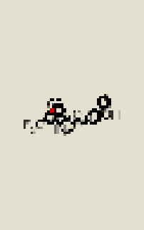 CC1(c2ccccc2)C(c2cc(C(F)(F)F)cc(C(F)(F)F)c2)NCCN1C(=O)CN1CCC(O)(c2ccccc2)CC1